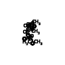 COc1cccc(OC)c1C(=O)NC(CNC(=O)N1CCC2(CC1)C(=O)N(Cc1c(C)cccc1C)CN2c1ccccc1)C(=O)O